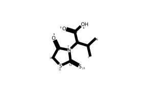 CC(C)C(C(=O)O)N1C(=O)CSC1=S